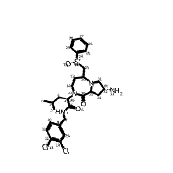 CC(C)C[C@H](C(=O)NCc1ccc(Cl)c(Cl)c1)N1CCC(C[S@@+]([O-])c2ccccc2)N2C[C@H](N)CC2C1=O